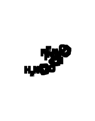 Nc1ccc(Oc2cnc3c(c2)c(C(F)(F)F)nn3C2CCCCO2)cc1